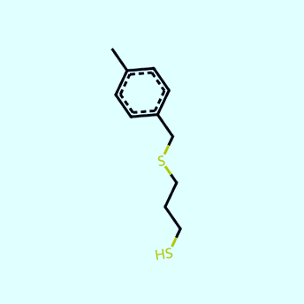 Cc1ccc(CSCCCS)cc1